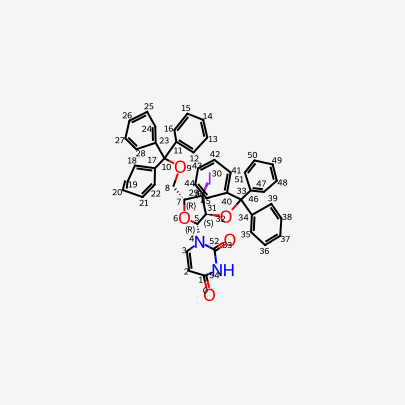 O=c1ccn([C@@H]2O[C@H](COC(c3ccccc3)(c3ccccc3)c3ccccc3)[C@@H](I)[C@H]2OC(c2ccccc2)(c2ccccc2)c2ccccc2)c(=O)[nH]1